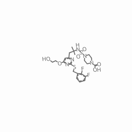 CC(C)(Cc1cc(OCCO)nc(SCc2cccc(F)c2F)n1)NS(=O)(=O)N1CCN(C(=O)O)CC1